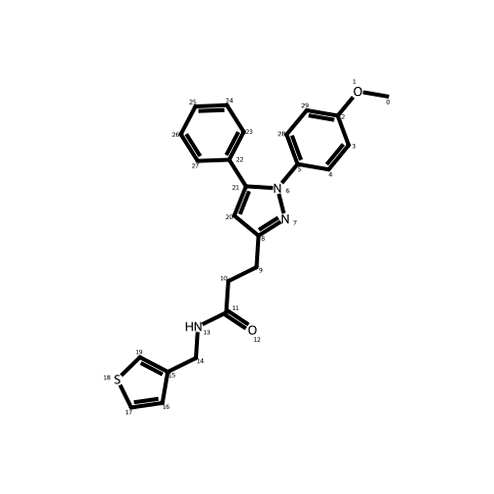 COc1ccc(-n2nc(CCC(=O)NCc3ccsc3)cc2-c2ccccc2)cc1